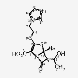 CC(O)[C@H]1C(=O)N2C(C(=O)O)=C(SCCn3ccnn3)S[C@H]12